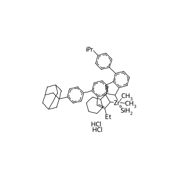 CCC1=Cc2c(-c3ccc(C45CC6CC(CC(C6)C4)C5)cc3)cccc2[CH]1[Zr]([CH3])([CH3])(=[SiH2])[CH]1C(C2CCCCC2)=Cc2c(-c3ccc(C(C)C)cc3)cccc21.Cl.Cl